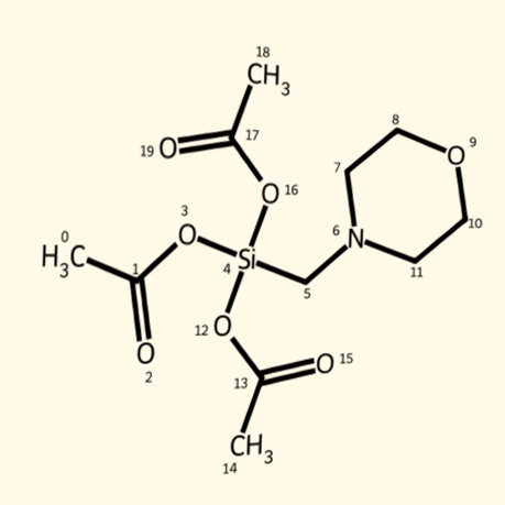 CC(=O)O[Si](CN1CCOCC1)(OC(C)=O)OC(C)=O